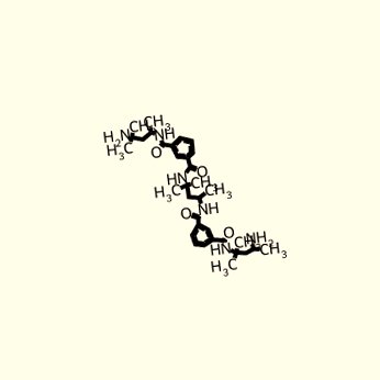 CC(N)CC(C)(C)NC(=O)c1cccc(C(=O)NC(C)CC(C)(C)NC(=O)c2cccc(C(=O)NC(C)CC(C)(C)N)c2)c1